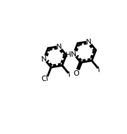 Clc1ncncc1I.O=c1[nH]cncc1I